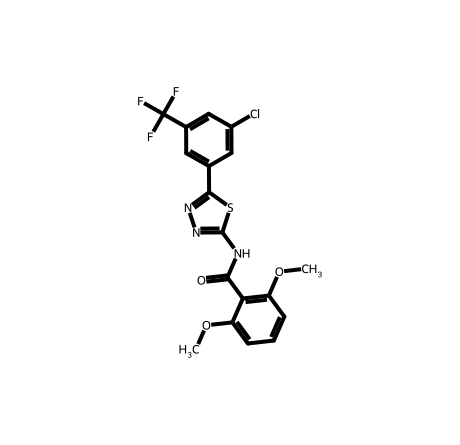 COc1cccc(OC)c1C(=O)Nc1nnc(-c2cc(Cl)cc(C(F)(F)F)c2)s1